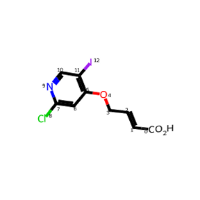 O=C(O)C=CCOc1cc(Cl)ncc1I